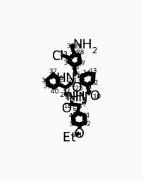 CCOc1ccc([C@@H](CNC(=O)c2ccccc2)C(=O)NC[C@H](C(=O)NCc2ccc(CN)c(Cl)c2)c2ccccc2)cc1